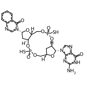 Nc1nc2c(ncn2[C@@H]2O[C@@H]3COP(=O)(S)O[C@H]4C[C@H](n5cnc6ccccc6c5=O)O[C@@H]4COP(=O)(S)O[C@H]2C3)c(=O)[nH]1